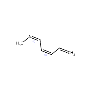 C=C/C=C\N=N/C